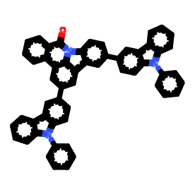 O=c1c2ccccc2c2cc(-c3ccc4c(c3)c3ccccc3n4-c3ccccc3)cc3c4cc(-c5ccc6c(c5)c5ccccc5n6-c5ccccc5)ccc4n1c23